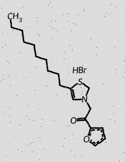 Br.CCCCCCCCCCC1=CN(CC(=O)c2ccco2)CS1